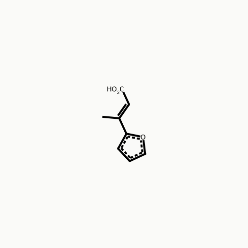 C/C(=C\C(=O)O)c1ccco1